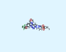 CS(=O)(=O)c1ccc(Cn2ccc3c(N4CCOCC4c4ccc(OC(F)(F)F)cc4)ncnc32)nc1